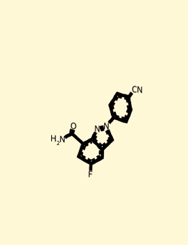 N#Cc1ccc(-n2cc3cc(F)cc(C(N)=O)c3n2)cc1